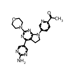 CC(=O)c1ccc(N2CCc3c(-c4cnc(N)nc4)nc(N4CCOCC4)nc32)cn1